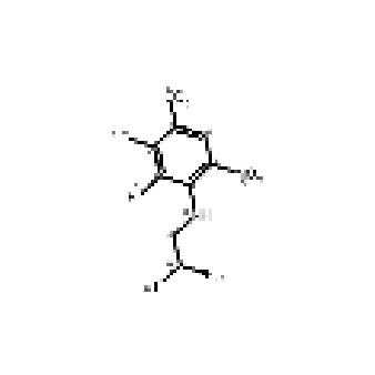 CCc1c(F)c(C(=O)O)cc([N+](=O)[O-])c1NCC(F)F